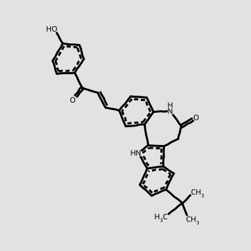 CC(C)(C)c1ccc2[nH]c3c(c2c1)CC(=O)Nc1ccc(/C=C/C(=O)c2ccc(O)cc2)cc1-3